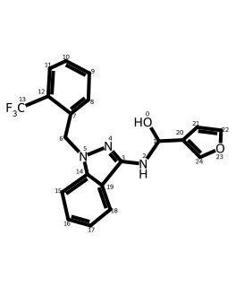 OC(Nc1nn(Cc2ccccc2C(F)(F)F)c2ccccc12)c1ccoc1